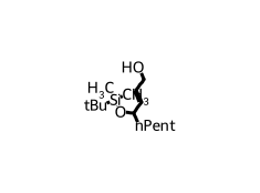 CCCCCC(C=CCO)O[Si](C)(C)C(C)(C)C